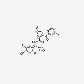 C=C[C@@H]1C[C@H](C(=O)N[C@@H](c2cc(F)c(Cl)cc2F)C2COC2)N(C(=O)c2cc(CC)ccn2)C1